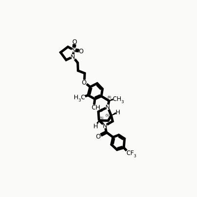 Cc1c(OCCCN2CCCS2(=O)=O)ccc([C@@H](C)N2C[C@@H]3C[C@H]2CN3C(=O)c2ccc(C(F)(F)F)cc2)c1C